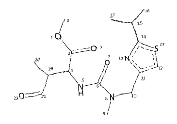 COC(=O)C(NC(=O)N(C)Cc1csc(C(C)C)n1)C(C)C=O